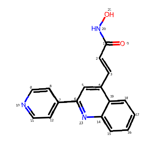 O=C(C=Cc1cc(-c2ccncc2)nc2ccccc12)NO